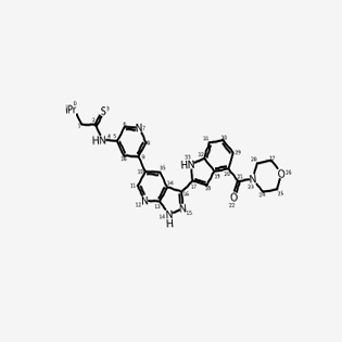 CC(C)CC(=S)Nc1cncc(-c2cnc3[nH]nc(-c4cc5c(C(=O)N6CCOCC6)cccc5[nH]4)c3c2)c1